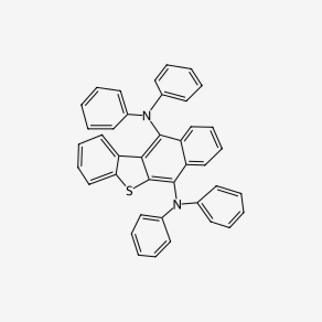 c1ccc(N(c2ccccc2)c2c3ccccc3c(N(c3ccccc3)c3ccccc3)c3c2sc2ccccc23)cc1